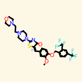 COc1cc(/C=C2/SC(N3CCN(CCN4CCOCC4)CC3)=NC2=O)ccc1OCc1ccc(C(F)(F)F)cc1C(F)(F)F